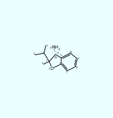 CC(C)C1(C)Oc2ccccc2[C@H]1N